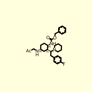 CC(=O)CN[C@@H]1CC[C@@H](NC(=O)OCc2ccccc2)[C@@H](C(Cc2ccc(F)cc2)N2CCCCC2)C1